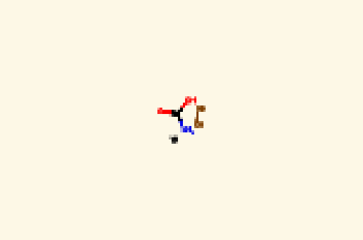 NC(=O)O.SS.[W]